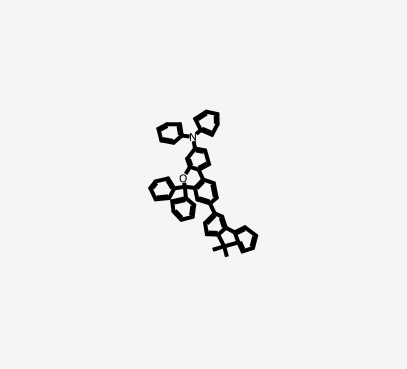 CC1(C)c2ccccc2-c2cc(-c3ccc4c(c3)C(c3ccccc3)(c3ccccc3)Oc3cc(N(c5ccccc5)c5ccccc5)ccc3-4)ccc21